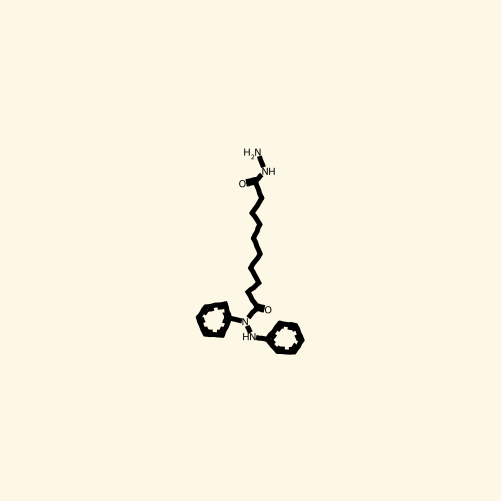 NNC(=O)CCCCCCCCC(=O)N(Nc1ccccc1)c1ccccc1